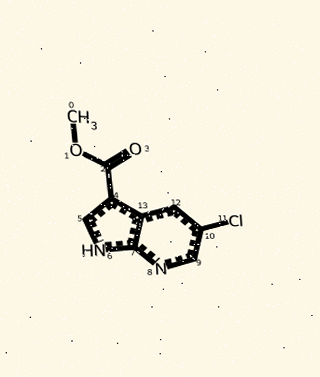 COC(=O)c1c[nH]c2ncc(Cl)cc12